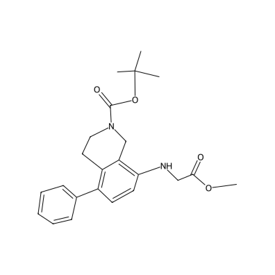 COC(=O)CNc1ccc(-c2ccccc2)c2c1CN(C(=O)OC(C)(C)C)CC2